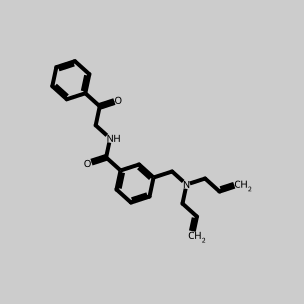 C=CCN(CC=C)Cc1cccc(C(=O)NCC(=O)c2ccccc2)c1